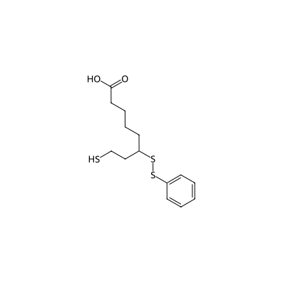 O=C(O)CCCCC(CCS)SSc1ccccc1